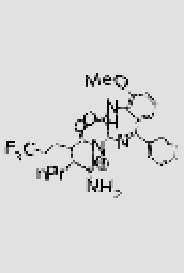 CCC[C@H](C(N)=O)[C@@H](CCC(F)(F)F)C(=O)N[C@H]1N=C(c2ccccc2)c2cccc(OC)c2NC1=O